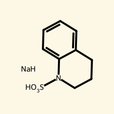 O=S(=O)(O)N1CCCc2ccccc21.[NaH]